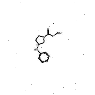 CC(C)(C)OC(=O)N1CC[C@H](Nc2cccnc2)C1